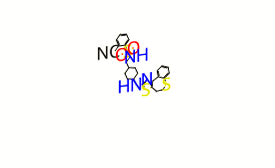 N#Cc1ccccc1S(=O)(=O)NCC1CCC(Nc2nc3c(s2)CCSc2ccccc2-3)CC1